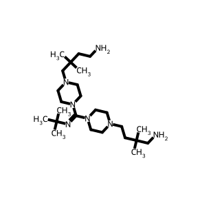 CC(C)(CN)CCN1CCN(C(=NC(C)(C)C)N2CCN(CC(C)(C)CCN)CC2)CC1